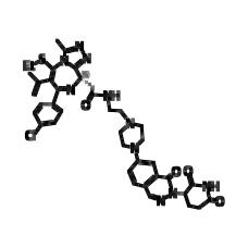 C=C(C)C1=C(SCC)n2c(C)nnc2[C@H](CC(=O)NCCN2CCN(c3ccc4cnn(C5CCC(=O)NC5=O)c(=O)c4c3)CC2)N=C1c1ccc(Cl)cc1